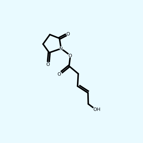 O=C(CC=CCO)ON1C(=O)CCC1=O